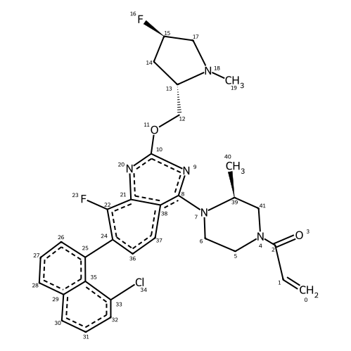 C=CC(=O)N1CCN(c2nc(OC[C@@H]3C[C@@H](F)CN3C)nc3c(F)c(-c4cccc5cccc(Cl)c45)ccc23)[C@@H](C)C1